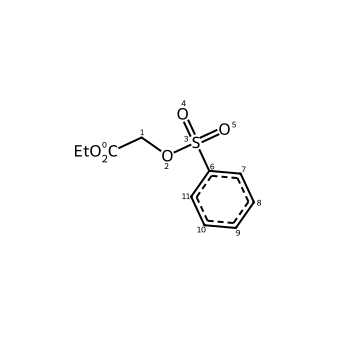 CCOC(=O)COS(=O)(=O)c1ccccc1